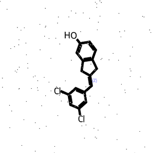 Oc1ccc2c(c1)C/C(=C\c1cc(Cl)cc(Cl)c1)C2